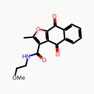 COCCNC(=O)c1c(C)oc2c1C(=O)c1ccccc1C2=O